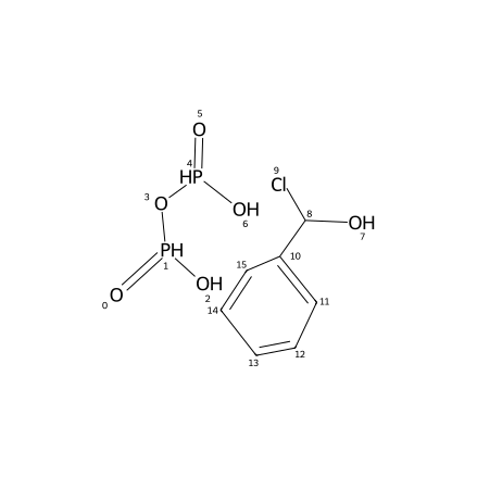 O=[PH](O)O[PH](=O)O.OC(Cl)c1ccccc1